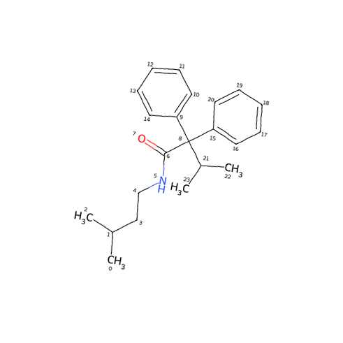 CC(C)CCNC(=O)C(c1ccccc1)(c1ccccc1)C(C)C